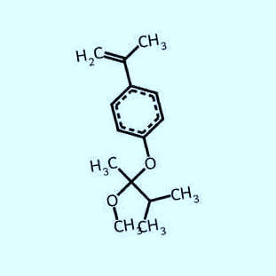 C=C(C)c1ccc(OC(C)(OC)C(C)C)cc1